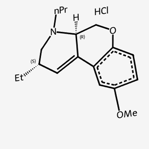 CCCN1C[C@@H](CC)C=C2c3cc(OC)ccc3OC[C@@H]21.Cl